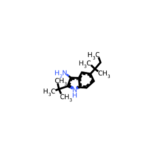 CCC(C)(C)c1ccc2[nH]c(C(C)(C)C)c(N)c2c1